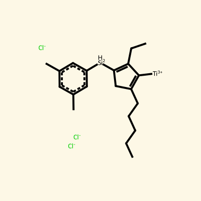 CCCCCC1=[C]([Ti+3])C(CC)=C([SiH2]c2cc(C)cc(C)c2)C1.[Cl-].[Cl-].[Cl-]